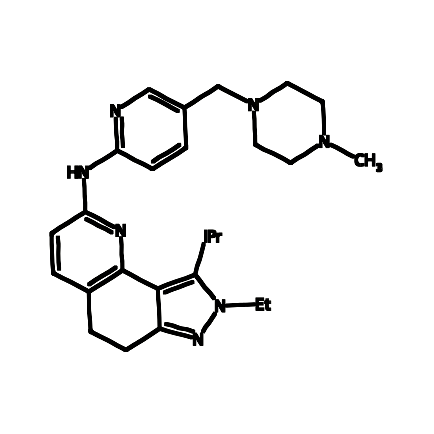 CCn1nc2c(c1C(C)C)-c1nc(Nc3ccc(CN4CCN(C)CC4)cn3)ccc1CC2